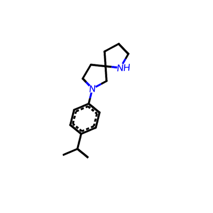 CC(C)c1ccc(N2CCC3(CCCN3)C2)cc1